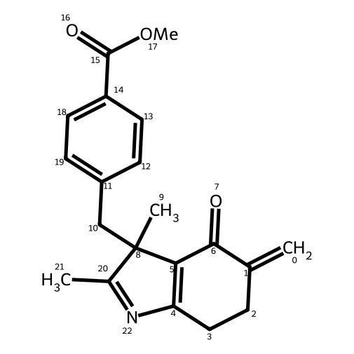 C=C1CCC2=C(C1=O)C(C)(Cc1ccc(C(=O)OC)cc1)C(C)=N2